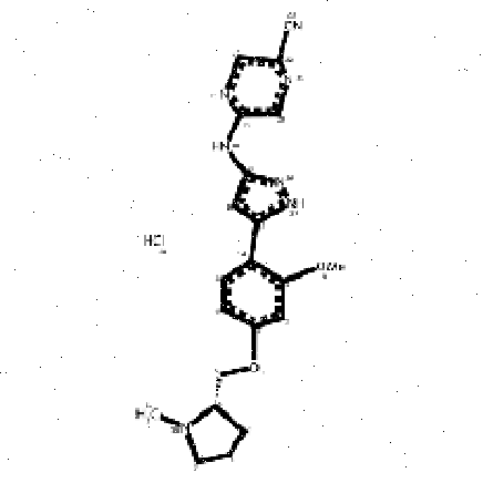 COc1cc(OC[C@@H]2CCCN2C)ccc1-c1cc(Nc2cnc(C#N)cn2)n[nH]1.Cl